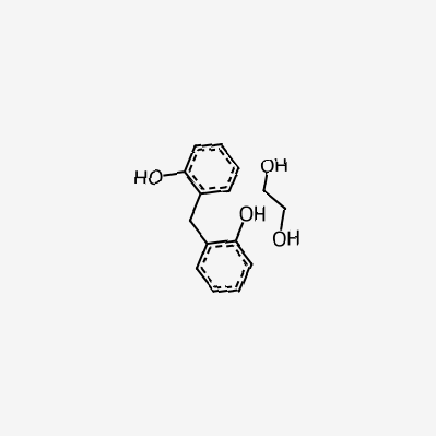 OCCO.Oc1ccccc1Cc1ccccc1O